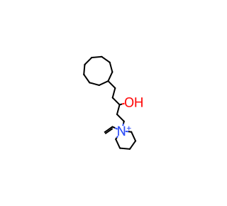 C=C[N+]1(CCC(O)CCC2CCCCCCCC2)CCCCC1